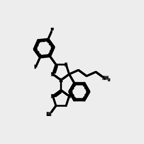 CCC1CSC(N2N=C(c3cc(F)ccc3F)SC2(CCCN)c2ccccc2)=N1